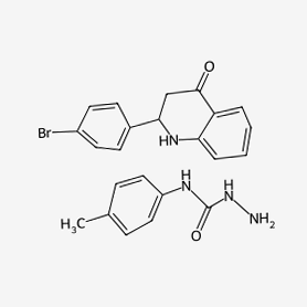 Cc1ccc(NC(=O)NN)cc1.O=C1CC(c2ccc(Br)cc2)Nc2ccccc21